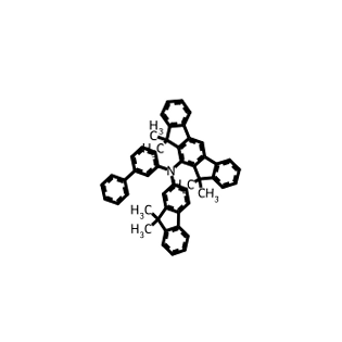 CC1(C)c2ccccc2-c2ccc(N(c3cccc(-c4ccccc4)c3)c3c4c(cc5c3C(C)(C)c3ccccc3-5)-c3ccccc3C4(C)C)cc21